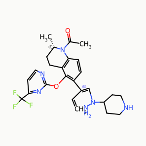 C=C/C(=C\N(N)C1CCNCC1)c1ccc2c(c1Oc1nccc(C(F)(F)F)n1)CC[C@H](C)N2C(C)=O